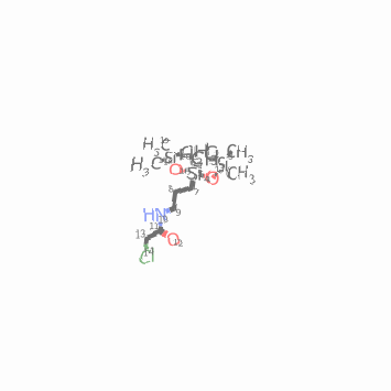 C[Si](C)(C)O[Si](C)(CCCNC(=O)CCl)O[Si](C)(C)C